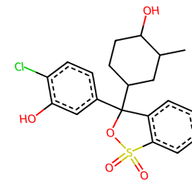 CC1CC(C2(c3ccc(Cl)c(O)c3)OS(=O)(=O)c3ccccc32)CCC1O